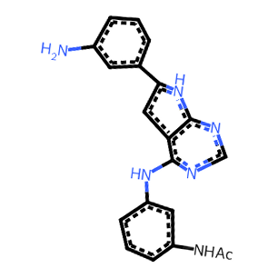 CC(=O)Nc1cccc(Nc2ncnc3[nH]c(-c4cccc(N)c4)cc23)c1